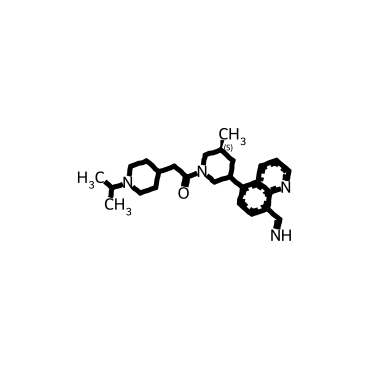 CC(C)N1CCC(CC(=O)N2CC(c3ccc(C=N)c4ncccc34)C[C@H](C)C2)CC1